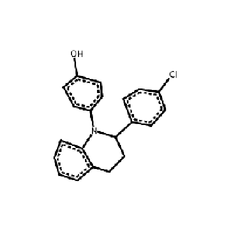 Oc1ccc(N2c3ccccc3CCC2c2ccc(Cl)cc2)cc1